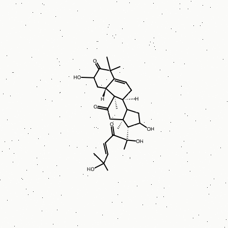 CC(C)(O)/C=C/C(=O)C(C)(O)[C@H]1C(O)CC2[C@@H]3CC=C4[C@@H](CC(O)C(=O)C4(C)C)[C@]3(C)C(=O)C[C@@]21C